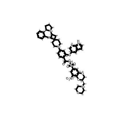 CC(C)c1ccccc1[C@H]1CCCN1C1CC2(CCN(c3ccc(C(=O)NS(=O)(=O)c4cc5c(c([N+](=O)[O-])c4)O[C@H](CN4CCOCC4)CO5)c(Oc4cnc5[nH]ccc5c4)c3)CC2)C1